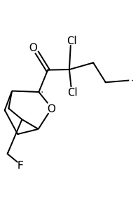 [CH2]CCC(Cl)(Cl)C(=O)[C]1OC2CCC1CC2CF